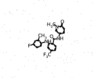 Cc1cc(F)ccc1Nc1cc(C(F)(F)F)ccc1C(=O)Nc1ccc(=O)n(C)c1